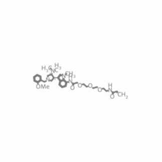 C=CC(=O)NCCOCCOCCOCC(=O)Nc1cccc2c([C@H]3CN(Cc4ccccc4OC)C[C@@H]3N(C)C)cn(C)c12